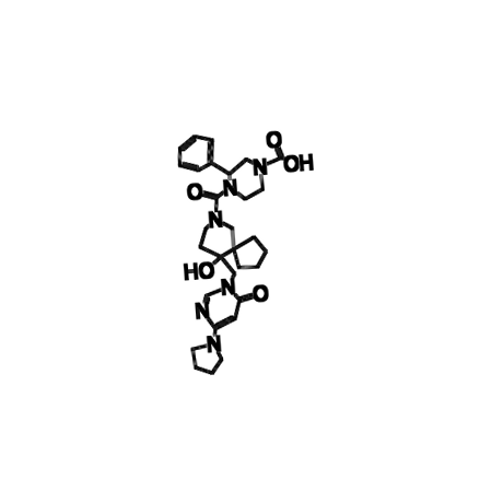 O=C(O)N1CCN(C(=O)N2CCC(O)(Cn3cnc(N4CCCC4)cc3=O)C3(CCCC3)C2)C(c2ccccc2)C1